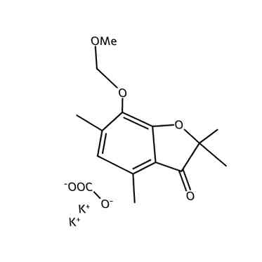 COCOc1c(C)cc(C)c2c1OC(C)(C)C2=O.O=C([O-])[O-].[K+].[K+]